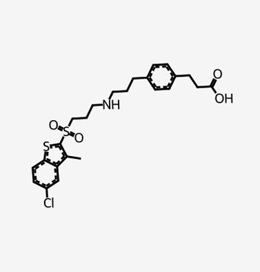 Cc1c(S(=O)(=O)CCCNCCCc2ccc(CCC(=O)O)cc2)sc2ccc(Cl)cc12